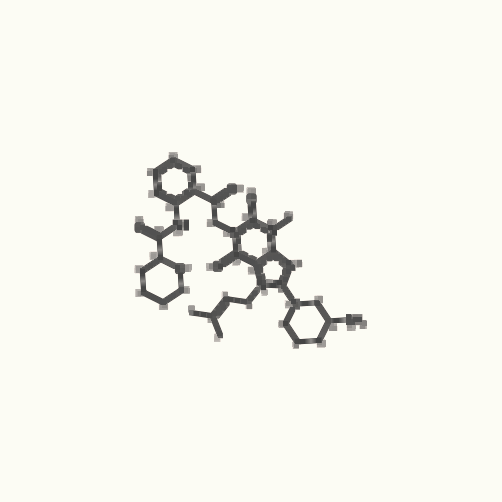 CC(C)=CCn1c(N2CCCC(N)C2)nc2c1c(=O)n(CC(=O)c1ccccc1NC(=O)C1CCCCO1)c(=O)n2C